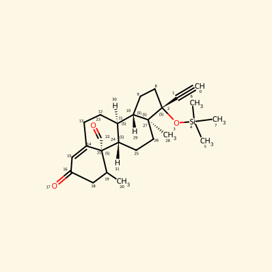 C#C[C@]1(O[Si](C)(C)C)CC[C@H]2[C@@H]3CCC4=CC(=O)CC(C)[C@]4(C=O)[C@H]3CC[C@@]21C